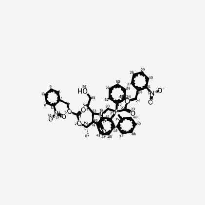 C[C@H](OC(=O)OCc1ccccc1[N+](=O)[O-])C1C(=O)N(CP(C(=O)OCc2ccccc2[N+](=O)[O-])(c2ccccc2)(c2ccccc2)c2ccccc2)C1CCO